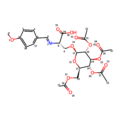 COc1ccc(/C=N/[C@@H](CO[C@@H]2O[C@H](COC(C)=O)[C@@H](OC(C)=O)[C@H](OC(C)=O)[C@H]2OC(C)=O)C(=O)O)cc1